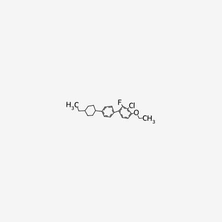 CCOc1ccc(-c2ccc(C3CCC(CC)CC3)cc2)c(F)c1Cl